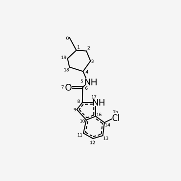 CC1CCC(NC(=O)c2cc3cccc(Cl)c3[nH]2)CC1